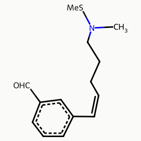 CSN(C)CCC/C=C\c1cccc(C=O)c1